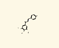 COc1cc(C(=O)/C=C/c2ccc(O)cc2)cc(OC)c1OC